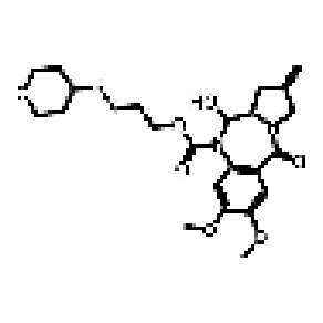 C=C1CC2C(O)N(C(=O)OCCSSC3CCOCC3)c3cc(OC)c(OC)cc3C(=O)N2C1